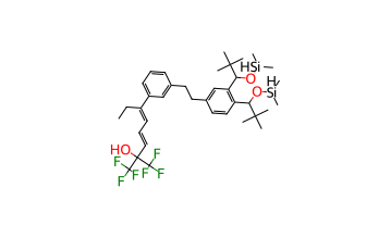 CCC(=CC=CC(O)(C(F)(F)F)C(F)(F)F)c1cccc(CCc2ccc(C(O[SiH](C)C)C(C)(C)C)c(C(O[SiH](C)C)C(C)(C)C)c2)c1